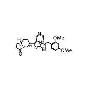 COc1ccc(CN[N+]23C=CN=CC2=C([C@@H]2CC[C@H]4CCC(=O)N4C2)N=C3Br)c(OC)c1